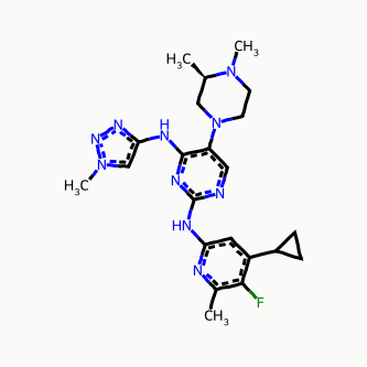 Cc1nc(Nc2ncc(N3CCN(C)[C@H](C)C3)c(Nc3cn(C)nn3)n2)cc(C2CC2)c1F